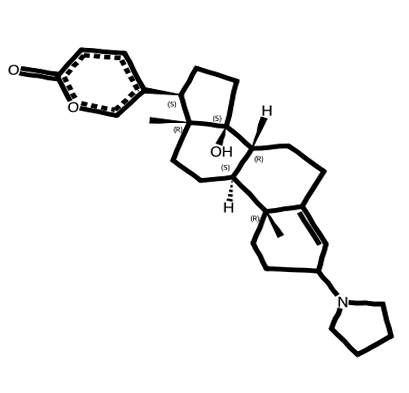 C[C@]12CCC(N3CCCC3)C=C1CC[C@@H]1[C@@H]2CC[C@]2(C)[C@@H](c3ccc(=O)oc3)CC[C@]12O